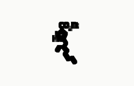 C=C/C=C\C=C(/C=C)Cc1cc(C(=O)OCC)n[nH]1